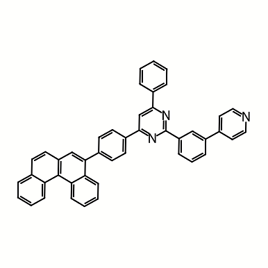 c1ccc(-c2cc(-c3ccc(-c4cc5ccc6ccccc6c5c5ccccc45)cc3)nc(-c3cccc(-c4ccncc4)c3)n2)cc1